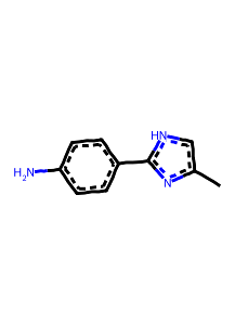 Cc1c[nH]c(-c2ccc(N)cc2)n1